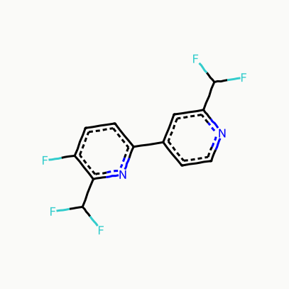 Fc1ccc(-c2ccnc(C(F)F)c2)nc1C(F)F